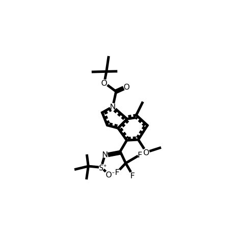 COc1cc(C)c2c(ccn2C(=O)OC(C)(C)C)c1C(=N[S+]([O-])C(C)(C)C)C(F)(F)F